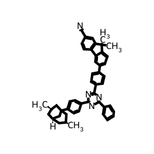 C[C@@H]1C[C@@H]2C[C@H](C)CC(c3ccc(-c4nc(-c5ccccc5)nc(-c5ccc(-c6ccc7c(c6)-c6ccc(C#N)cc6C7(C)C)cc5)n4)cc3)(C1)C2